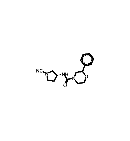 N#CN1CC[C@@H](NC(=O)N2CCOC(c3ccccc3)C2)C1